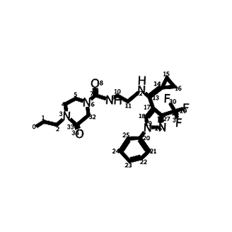 CCCN1CCN(C(=O)NCCNC(=C2CC2)c2cn(-c3ccccc3)nc2C(F)(F)F)CC1=O